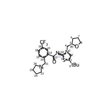 CC(C)(C)c1cn(C[C@H]2CCCO2)/c(=N/C(=O)c2cc(C(F)(F)F)ccc2CN2CCCC2)s1